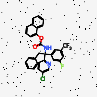 O=C(N[C@](Cc1ccccc1)(c1cc(F)cc(C(F)(F)F)c1)c1ccc(Cl)cn1)Oc1cccc2ccccc12